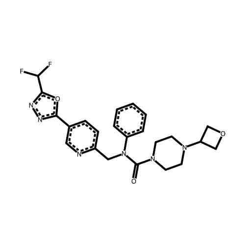 O=C(N1CCN(C2COC2)CC1)N(Cc1ccc(-c2nnc(C(F)F)o2)cn1)c1ccccc1